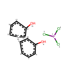 ClP(Cl)Cl.Oc1ccccc1.Oc1ccccc1